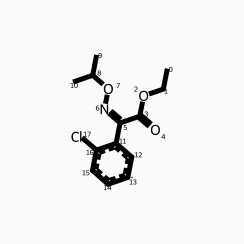 CCOC(=O)C(=NOC(C)C)c1c[c]ccc1Cl